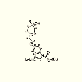 CC(=O)Nc1cn(C(=O)OC(C)(C)C)c2ccc(OCC[C@H]3CC[C@@](C)(O)CC3)cc12